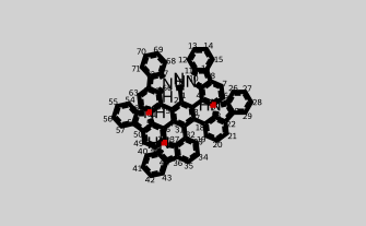 N#Cc1c(-c2cccc3c2[nH]c2ccccc23)c(-c2cccc3c2[nH]c2ccccc23)c(-c2cccc3c2[nH]c2ccccc23)c(-c2cccc3c2[nH]c2ccccc23)c1-c1cccc2c1[nH]c1ccccc12